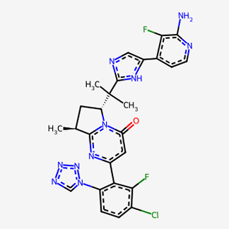 C[C@H]1C[C@H](C(C)(C)c2ncc(-c3ccnc(N)c3F)[nH]2)n2c1nc(-c1c(-n3cnnn3)ccc(Cl)c1F)cc2=O